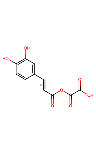 O=C(/C=C/c1ccc(O)c(O)c1)OC(=O)C(=O)O